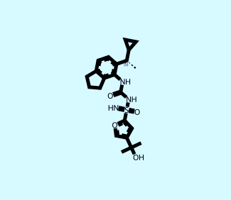 C[C@H](c1ccc2c(c1NC(=O)NS(=N)(=O)c1cc(C(C)(C)O)co1)CCC2)C1CC1